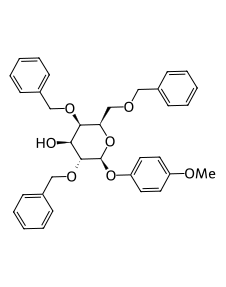 COc1ccc(O[C@@H]2O[C@H](COCc3ccccc3)[C@H](OCc3ccccc3)[C@H](O)[C@H]2OCc2ccccc2)cc1